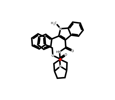 Cn1c(-c2ccccc2)c(C(=O)NC2CC3CCC(C2)N3C(=O)OCc2ccccc2)c2ccccc21